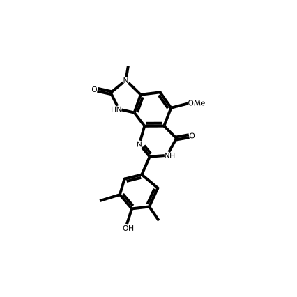 COc1cc2c([nH]c(=O)n2C)c2nc(-c3cc(C)c(O)c(C)c3)[nH]c(=O)c12